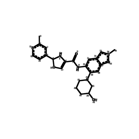 Cc1cc(C2NC(C(=O)Nc3cc4cn(C)nc4cc3N3CCCC(O)C3)=CO2)ccn1